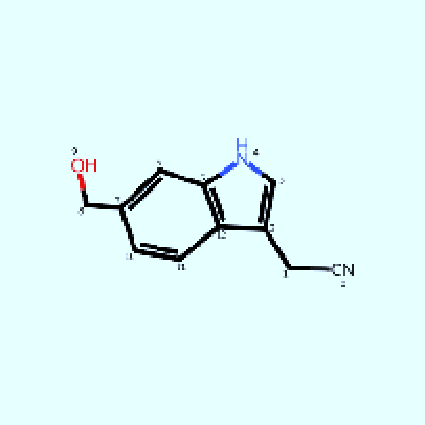 N#CCc1c[nH]c2cc(CO)ccc12